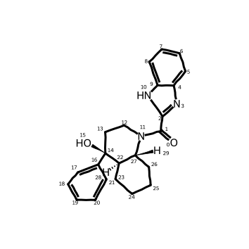 O=C(c1nc2ccccc2[nH]1)N1CC[C@@](O)(c2ccccc2)[C@@H]2CCCC[C@H]21